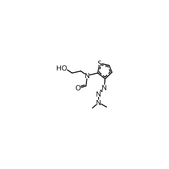 CN(C)N=Nc1ccsc1N(C=O)CCO